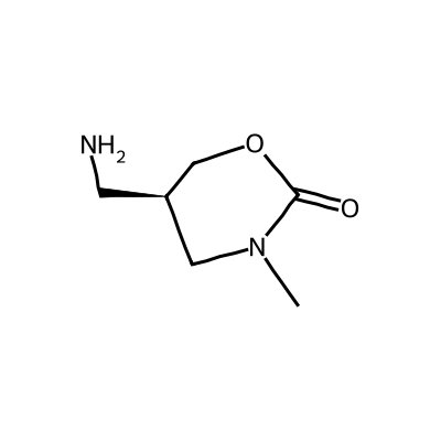 CN1C[C@@H](CN)COC1=O